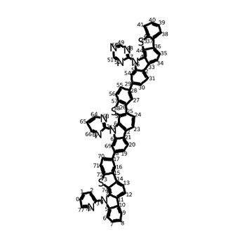 c1ccc(-n2c3ccccc3c3ccc4c5cc(-c6ccc7c8ccc9c%10cc(-c%11ccc%12c%13ccc%14c%15ccccc%15sc%14c%13n(-c%13ncncn%13)c%12c%11)ccc%10sc9c8n(-c8ncccn8)c7c6)ccc5sc4c32)nc1